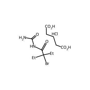 CCC(Br)(CC)C(=O)NC(N)=O.Cl.O=C(O)CCCC(=O)O